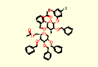 CC(=O)OC[C@H]1O[C@H](Oc2cc(Cl)cc(Br)c2)[C@@H](OCc2ccccc2)[C@@H](C[C@H]2O[C@H](COC(C)=O)[C@@H](OCc3ccccc3)[C@@H](OCc3ccccc3)[C@@H]2OCc2ccccc2)[C@@H]1OCc1ccccc1